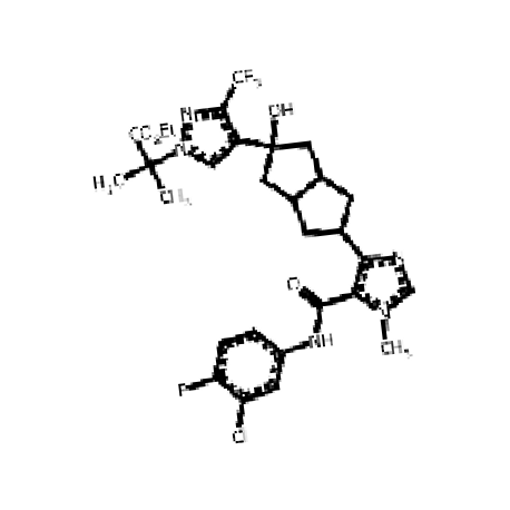 CCOC(=O)C(C)(C)n1cc(C2(O)CC3CC(c4ncn(C)c4C(=O)Nc4ccc(F)c(Cl)c4)CC3C2)c(C(F)(F)F)n1